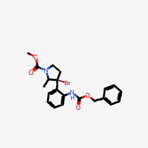 COC(=O)N1CC[C@](Br)(c2ccccc2NC(=O)OCc2ccccc2)C1C